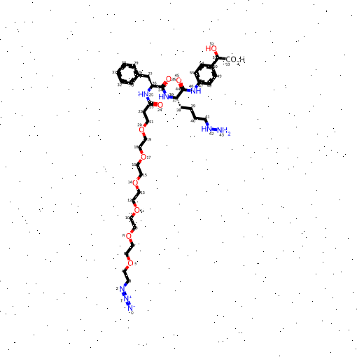 [N-]=[N+]=NCCOCCOCCOCCOCCOCCOCCC(=O)N[C@@H](Cc1ccccc1)C(=O)N[C@@H](CCCCNN)C(=O)Nc1ccc(C(O)C(=O)O)cc1